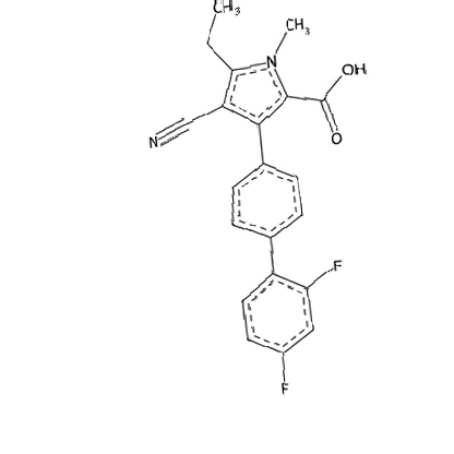 CCc1c(C#N)c(-c2ccc(-c3ccc(F)cc3F)cc2)c(C(=O)O)n1C